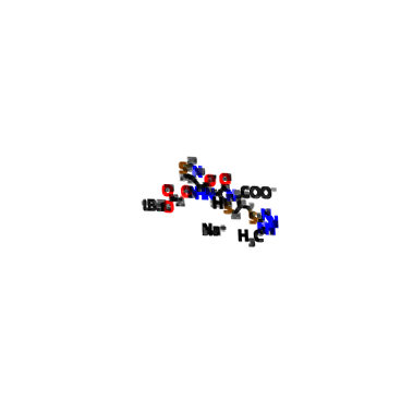 Cn1nnnc1SCC1=C(C(=O)[O-])N2C(=O)C(NC(=O)C(=NOCC(=O)OC(C)(C)C)c3cscn3)[C@@H]2SC1.[Na+]